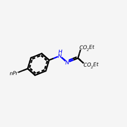 CCCc1ccc(NN=C(C(=O)OCC)C(=O)OCC)cc1